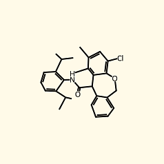 Cc1cc(Cl)c2c(c1C)C(C(=O)Nc1c(C(C)C)cccc1C(C)C)c1ccccc1CO2